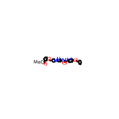 COC(=O)c1cccc(OCC2CCN(c3ccc(NC(=O)c4ccc(OCc5ccccc5)cc4)cn3)CC2)c1